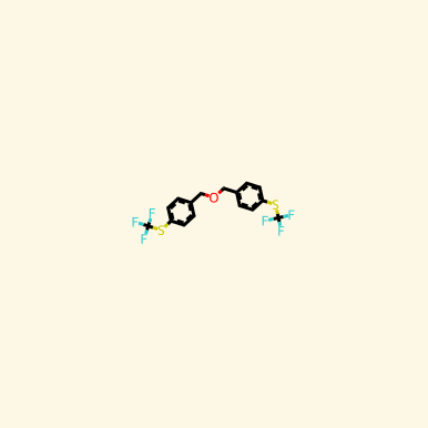 FC(F)(F)Sc1ccc(COCc2ccc(SC(F)(F)F)cc2)cc1